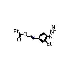 CCC(=O)OC/C=C/c1ccc(N=[N+]=[N-])c(CC)c1